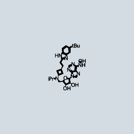 CC(C)N(C[C@H]1O[C@@H](n2cnc3c(NO)ncnc32)[C@H](O)[C@@H]1O)[C@H]1C[C@H](CCc2nc3cc(C(C)(C)C)ccc3[nH]2)C1